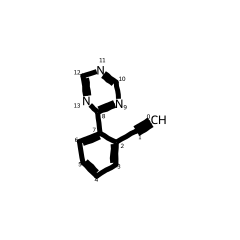 C#Cc1ccccc1-c1ncncn1